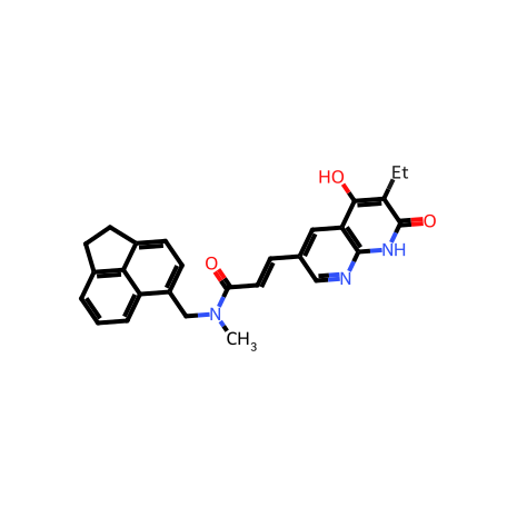 CCc1c(O)c2cc(C=CC(=O)N(C)Cc3ccc4c5c(cccc35)CC4)cnc2[nH]c1=O